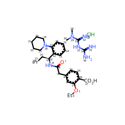 CCOc1cc(CC(=O)N[C@@H](CC(C)C)c2ccccc2N2CCCCC2)ccc1C(=O)O.CN(C)C(=N)NC(=N)N.Cl